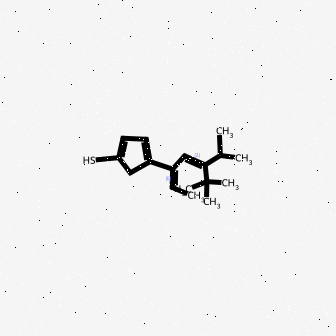 C/C=C(\C=C(\C(C)C)C(C)(C)C)C1=CC=C(S)C1